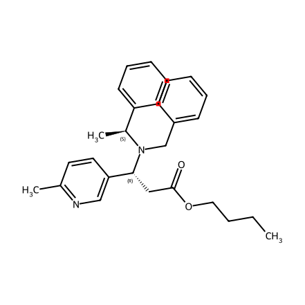 CCCCOC(=O)C[C@H](c1ccc(C)nc1)N(Cc1ccccc1)[C@@H](C)c1ccccc1